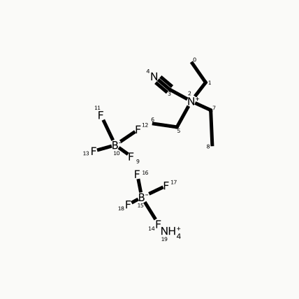 CC[N+](C#N)(CC)CC.F[B-](F)(F)F.F[B-](F)(F)F.[NH4+]